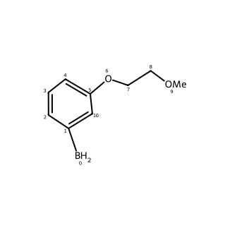 Bc1cccc(OCCOC)c1